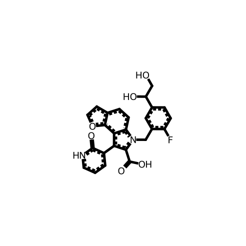 O=C(O)c1c(-c2ccc[nH]c2=O)c2c3occc3ccc2n1Cc1cc(C(O)CO)ccc1F